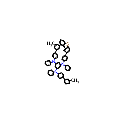 Cc1cccc(-c2ccc(N(c3ccccc3)c3cc(N(c4ccccc4)c4ccc(-c5cccc(C)c5)cc4)cc(N(c4ccccc4)c4ccc(-c5ccc6sc7ccccc7c6c5)cc4)c3)cc2)c1